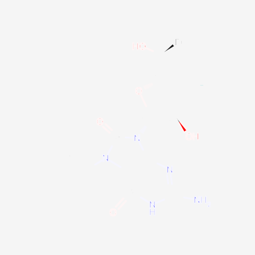 CC[C@H](O)[C@H]1O[C@@H](n2c(=O)n(CC3CC3)c3c(=O)[nH]c(N)nc32)[C@H](O)[C@H]1F